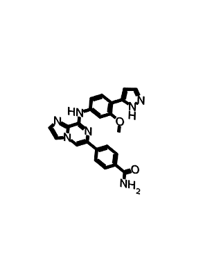 COc1cc(Nc2nc(-c3ccc(C(N)=O)cc3)cn3ccnc23)ccc1-c1ccn[nH]1